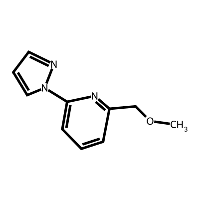 COCc1cccc(-n2cccn2)n1